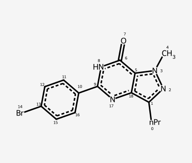 CCCc1nn(C)c2c(=O)[nH]c(-c3ccc(Br)cc3)nc12